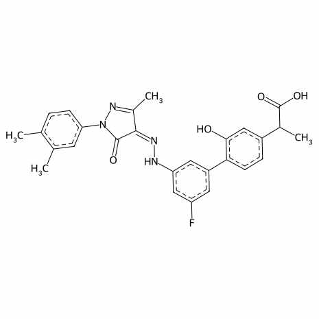 CC1=NN(c2ccc(C)c(C)c2)C(=O)C1=NNc1cc(F)cc(-c2ccc(C(C)C(=O)O)cc2O)c1